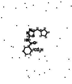 O=C(O)C1CCCCC1C(=O)Nc1nnc(CC2CCCC2)s1